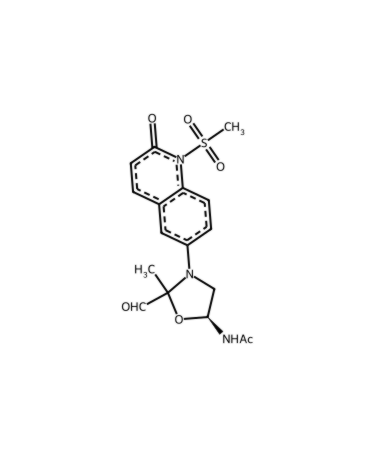 CC(=O)N[C@@H]1CN(c2ccc3c(ccc(=O)n3S(C)(=O)=O)c2)C(C)(C=O)O1